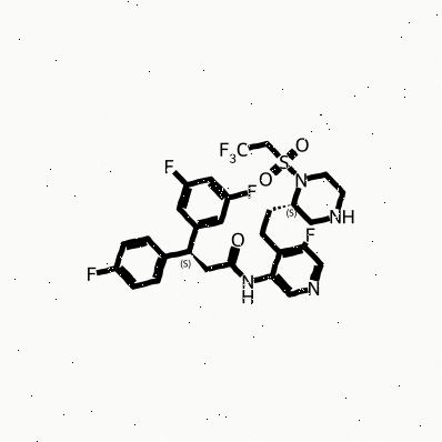 O=C(C[C@@H](c1ccc(F)cc1)c1cc(F)cc(F)c1)Nc1cncc(F)c1CC[C@H]1CNCCN1S(=O)(=O)CC(F)(F)F